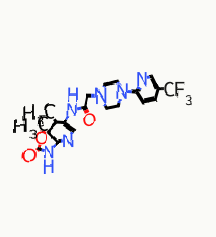 CC1C(NC(=O)CN2CCN(c3ccc(C(F)(F)F)cn3)CC2)=CN=C2NC(=O)OC21C